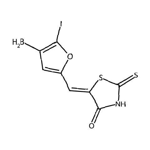 Bc1cc(/C=C2\SC(=S)NC2=O)oc1I